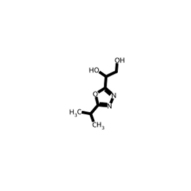 CC(C)c1nnc(C(O)CO)o1